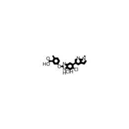 Cc1ccc(Oc2nc3cc(-c4cnc5c(ccn5C)c4)c(Cl)cc3[nH]2)cc1C(=O)O.Cl